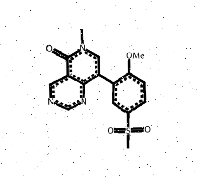 COc1ccc(S(C)(=O)=O)cc1-c1cn(C)c(=O)c2cncnc12